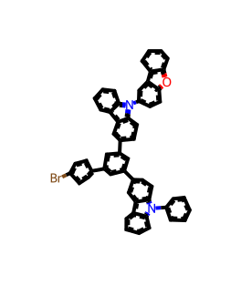 Brc1ccc(-c2cc(-c3ccc4c(c3)c3ccccc3n4-c3ccccc3)cc(-c3ccc4c(c3)c3ccccc3n4-c3ccc4oc5ccccc5c4c3)c2)cc1